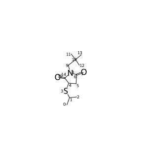 CC(C)SC1CC(=O)N(CC(C)(C)C)C1=O